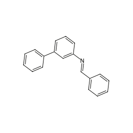 C(=Nc1cccc(-c2ccccc2)c1)c1ccccc1